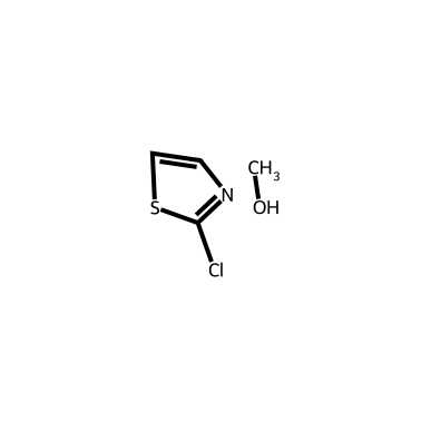 CO.Clc1nccs1